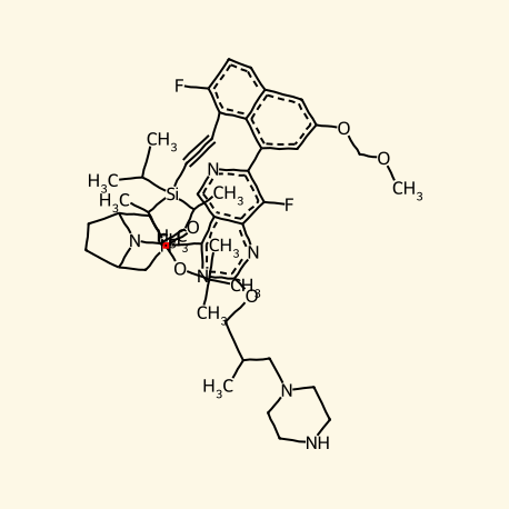 COCOc1cc(-c2ncc3c(N4CC5CCC(C4)N5C(=O)OC(C)(C)C)nc(OCC(C)CN4CCNCC4)nc3c2F)c2c(C#C[Si](C(C)C)(C(C)C)C(C)C)c(F)ccc2c1